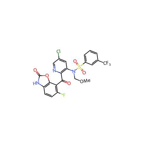 COCN(c1cc(Cl)cnc1C(=O)c1c(F)ccc2[nH]c(=O)oc12)S(=O)(=O)c1cccc(C(F)(F)F)c1